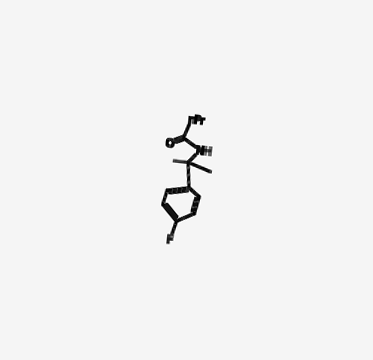 CCCC(=O)NC(C)(C)c1ccc(F)cc1